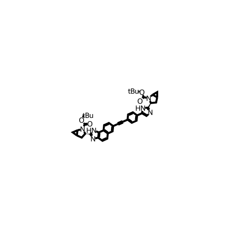 CC(C)(C)OC(=O)N1C2CC2C[C@H]1c1ncc(-c2ccc(C#Cc3ccc4c(ccc5nc([C@@H]6CC7CC7N6C(=O)OC(C)(C)C)[nH]c54)c3)cc2)[nH]1